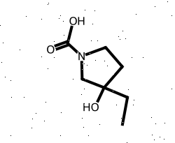 CCC1(O)CCN(C(=O)O)C1